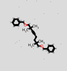 CC(C)(C#CCCC(C)(C)COCc1ccccc1)COCc1ccccc1